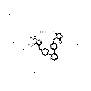 Cc1c(CN2CCN(c3nccnc3-c3ccc(CN4C(=O)CSC4=O)cc3)CC2)cnn1C.Cl